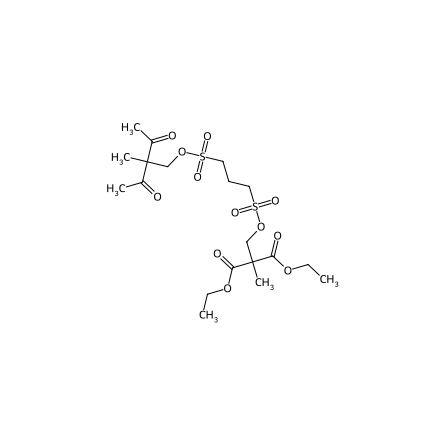 CCOC(=O)C(C)(COS(=O)(=O)CCCS(=O)(=O)OCC(C)(C(C)=O)C(C)=O)C(=O)OCC